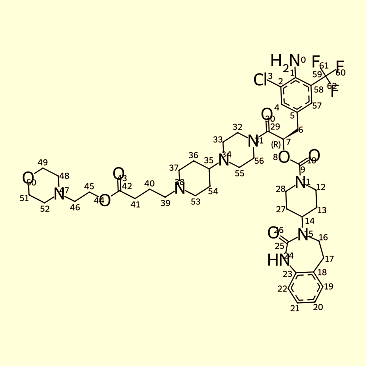 Nc1c(Cl)cc(C[C@@H](OC(=O)N2CCC(N3CCc4ccccc4NC3=O)CC2)C(=O)N2CCN(C3CCN(CCCC(=O)OCCN4CCOCC4)CC3)CC2)cc1C(F)(F)F